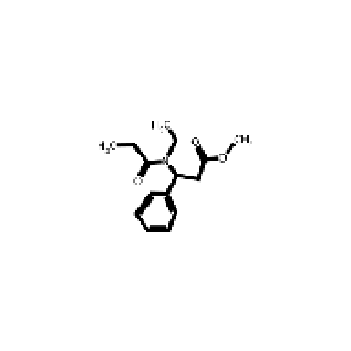 CCC(=O)N(CC)C(CC(=O)OC)c1ccccc1